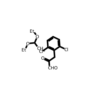 CCOC(C)OCC.O=CC(=O)Cc1c(Cl)cccc1Cl